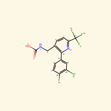 O=C(O)NCc1ccc(C(F)(F)F)nc1-c1ccc(F)c(Cl)c1